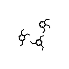 CCc1cc(CC)cc(CC)c1.CCc1ccc(CC)c(CC)c1.CCc1cccc(CC)c1CC